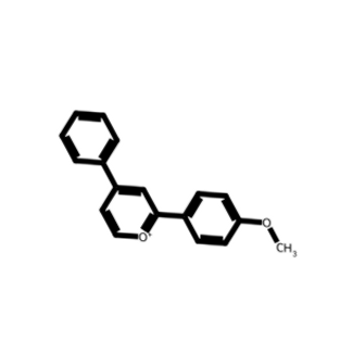 COc1ccc(-c2cc(-c3ccccc3)cc[o+]2)cc1